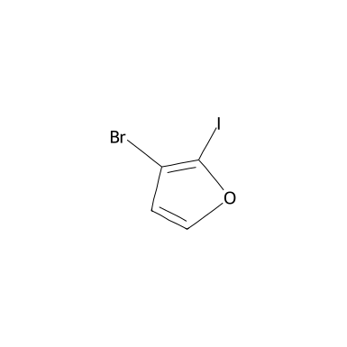 Brc1ccoc1I